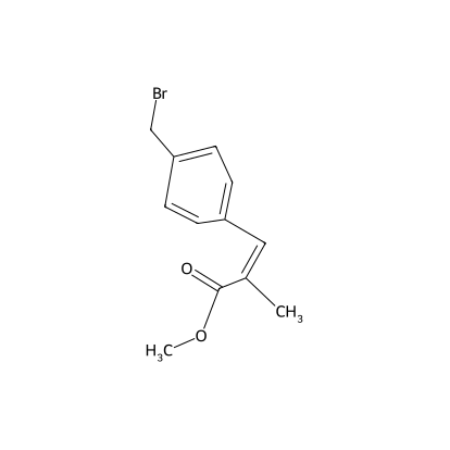 COC(=O)C(C)=Cc1ccc(CBr)cc1